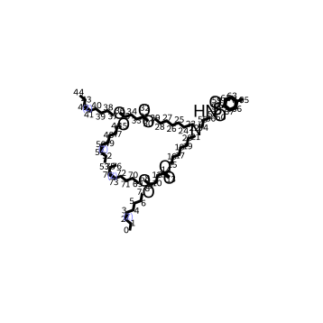 CC/C=C\CCCCOC(CCC(=O)OCCCCCCCN(CCCCCCCOC(=O)CCC(OCCCC/C=C\CC)OCCCC/C=C\CC)CCCNS(=O)(=O)c1ccc(C)cc1)OCCCC/C=C\CC